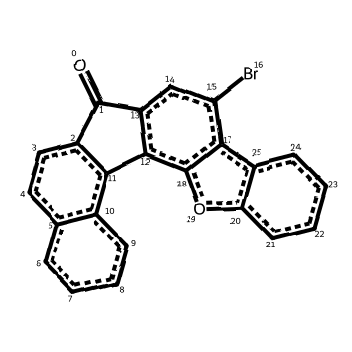 O=C1c2ccc3ccccc3c2-c2c1cc(Br)c1c2oc2ccccc21